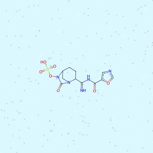 N=C(NC(=O)c1cnco1)C1CCC2CN1C(=O)N2OS(=O)(=O)O